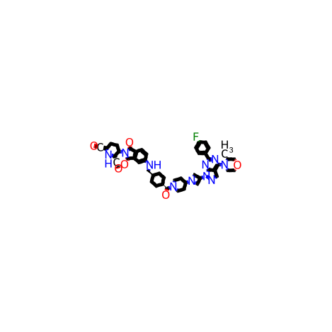 C[C@H]1COCCN1c1nc(-c2ccc(F)cc2)nc2c1cnn2C1CN(C2CCN(C(=O)[C@H]3CC[C@H](CNc4ccc5c(c4)C(=O)N(C4CCC(=C=O)NC4=C=O)C5=O)CC3)CC2)C1